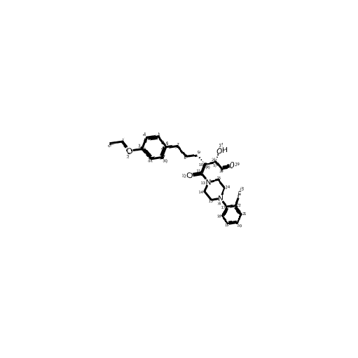 CCOc1ccc(CCC[C@@H](C(=O)N2CCN(c3ccccc3F)CC2)[C@H](O)C=O)cc1